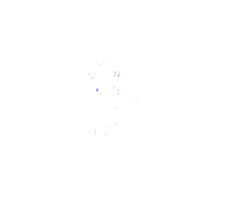 CC(C)(C)[Si](C)(C)OC[C@@H]1C[C@H](F)[C@H](n2cnc3c(O)ncnc32)O1